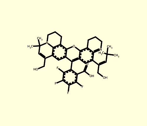 CC(C)(C)/C=C(/CO)c1cc2c(c3c1=NCCC3)Oc1c(cc3c4c1CCCN4C(C)(C)C=C3CO)C=2c1c(F)c(F)c(F)c(F)c1C(=O)O